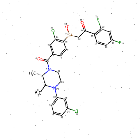 CC1[C@H](C)N(C(=O)c2ccc([S+]([O-])CC(=O)c3ccc(F)cc3F)c(Cl)c2)CCN1c1cccc(Cl)c1